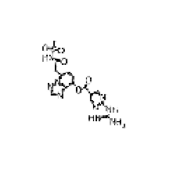 CS(=O)(=O)NC(=O)Cc1ccc(OC(=O)c2cnc(NC(=N)N)nc2)c2ncnn12